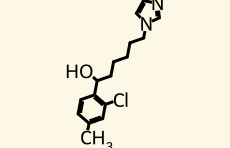 Cc1ccc(C(O)CCCCCn2ccnc2)c(Cl)c1